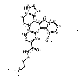 CCCCNC(=O)c1cnc(N2CCc3[nH]cnc3[C@H]2c2cc3c(F)cccn3n2)cn1